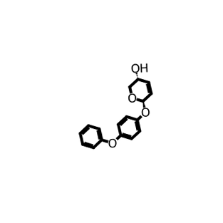 O[C@@H]1C=C[C@@H](Oc2ccc(Oc3ccccc3)cc2)OC1